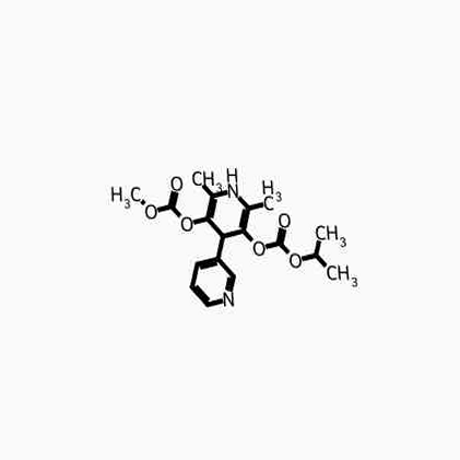 COC(=O)OC1=C(C)NC(C)=C(OC(=O)OC(C)C)C1c1cccnc1